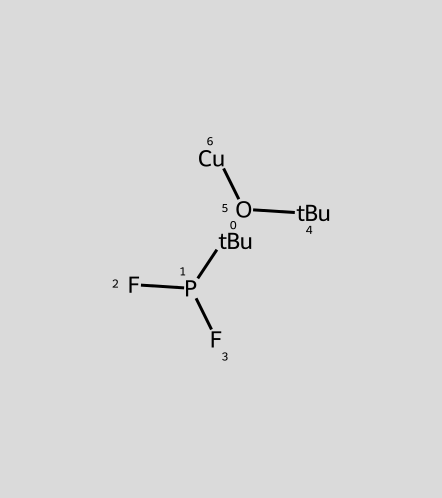 CC(C)(C)P(F)F.CC(C)(C)[O][Cu]